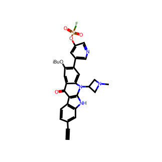 C#Cc1ccc2c(c1)[nH]c1c2c(=O)c2cc(OCC(C)C)c(-c3cncc(OS(=O)(=O)F)c3)cc2n1C1CN(C)C1